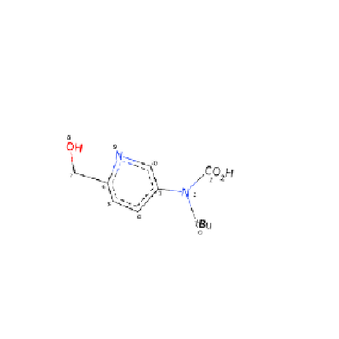 CC(C)(C)N(C(=O)O)c1ccc(CO)nc1